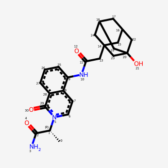 C[C@H](C(N)=O)n1ccc2c(NC(=O)CC34CC5CC(CC(O)(C5)C3)C4)cccc2c1=O